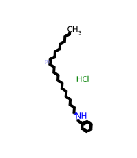 CCCCCCCC/C=C\CCCCCCCCCCCCNCc1ccccc1.Cl